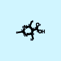 Cc1nc(C)c(C(=O)O)c(C)n1